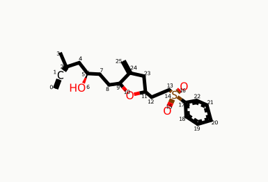 C=C=C(C)C[C@H](O)CCC1OC(CCS(=O)(=O)c2ccccc2)CC1=C